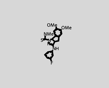 CNC(=S)N1N=C(Nc2cccc(F)c2)C2Cc3cc(OC)c(OC)cc3C21